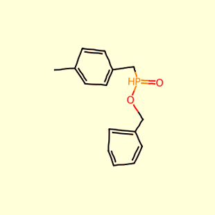 Cc1ccc(C[PH](=O)OCc2ccccc2)cc1